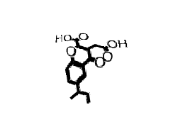 CCC(C)c1ccc2oc(C(=O)O)c(CC(=O)O)c(=O)c2c1